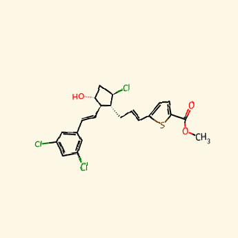 COC(=O)c1ccc(C=CC[C@@H]2[C@@H](C=Cc3cc(Cl)cc(Cl)c3)[C@H](O)C[C@H]2Cl)s1